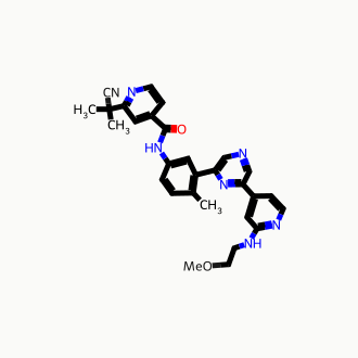 COCCNc1cc(-c2cncc(-c3cc(NC(=O)c4ccnc(C(C)(C)C#N)c4)ccc3C)n2)ccn1